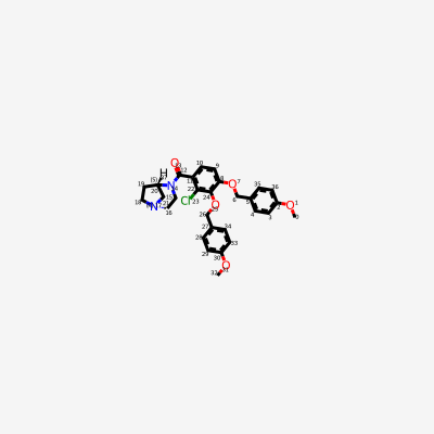 COc1ccc(COc2ccc(C(=O)N3CC[N@]4CC[C@H]3C4)c(Cl)c2OCc2ccc(OC)cc2)cc1